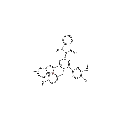 COc1ccc(CN(C(=O)c2ccc(Br)c(OC)n2)[C@H](CON2C(=O)c3ccccc3C2=O)c2cc3cc(C)ccc3o2)cc1